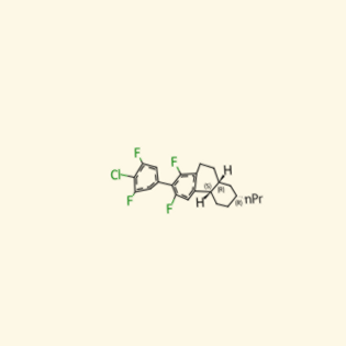 CCC[C@@H]1CC[C@@H]2c3cc(F)c(-c4cc(F)c(Cl)c(F)c4)c(F)c3CC[C@@H]2C1